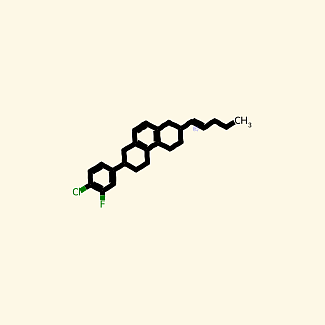 CCC/C=C/C1CCc2c(ccc3c2CCC(c2ccc(Cl)c(F)c2)C3)C1